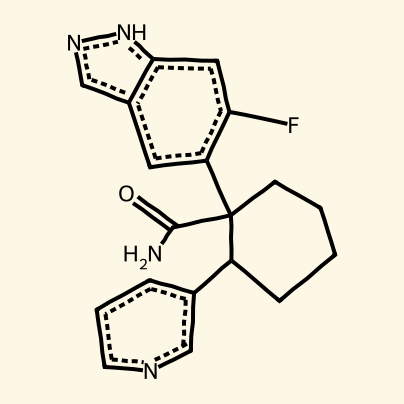 NC(=O)C1(c2cc3cn[nH]c3cc2F)CCCCC1c1cccnc1